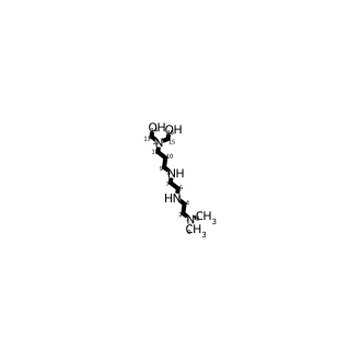 CN(C)CCNCCNCCCN(CO)CO